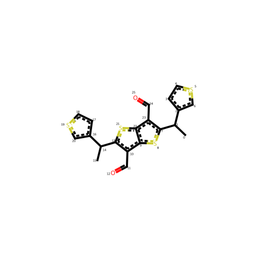 CC(c1ccsc1)c1sc2c(C=O)c(C(C)c3ccsc3)sc2c1C=O